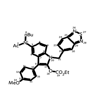 CCCCN(C(C)=O)c1ccc2c(c1)c(-c1ccc(OC)cc1)c(OC(=O)OCC)n2Cc1ccc2nsnc2c1